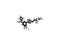 CC(C)OC(=O)/C=C/n1cnc(-c2cc(NC3CCC3)cc(C(F)(F)F)c2)n1